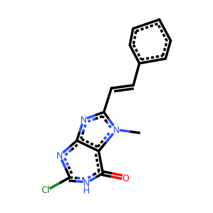 Cn1c(C=Cc2ccccc2)nc2nc(Cl)[nH]c(=O)c21